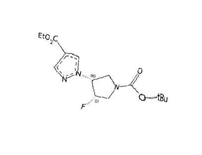 CCOC(=O)c1cnn([C@@H]2CN(C(=O)OC(C)(C)C)C[C@@H]2F)c1